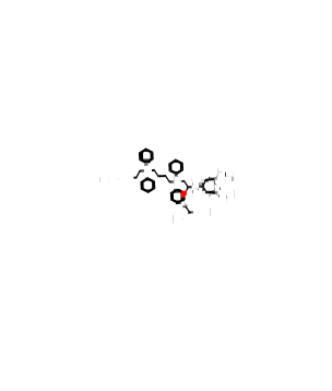 C=C(C)C(=O)OCC(C[PH](CCCC[PH](CCCCCCCCCCCC)(c1ccccc1)c1ccccc1)(c1ccccc1)c1ccccc1)[N+](C)(C)C1CC(C)(C)NC(C)(C)C1